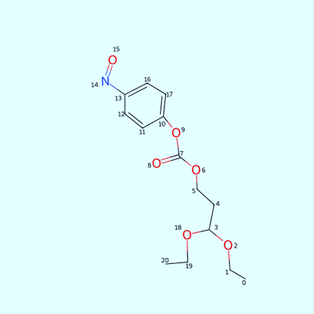 CCOC(CCOC(=O)Oc1ccc(N=O)cc1)OCC